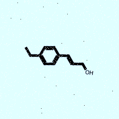 CCc1ccc(C=CCO)cc1